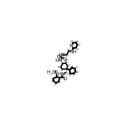 COc1ccccc1C(=O)NC[C@]1(c2ccccc2)CC[C@H](NS(=O)(=O)NCCNc2ccccn2)CC1